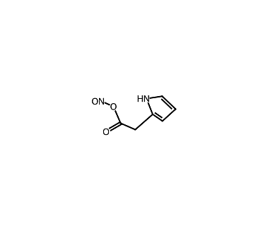 O=NOC(=O)Cc1ccc[nH]1